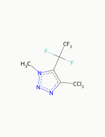 Cn1nnc(C(Cl)(Cl)Cl)c1C(F)(F)C(F)(F)F